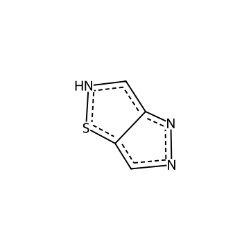 c1[nH]sc2cnnc1-2